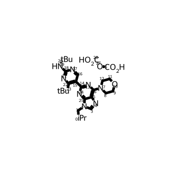 CC(C)Cn1cnc2c(N3CCOCC3)nc(-c3cnc(NC(C)(C)C)nc3C(C)(C)C)nc21.O=C(O)OC(=O)O